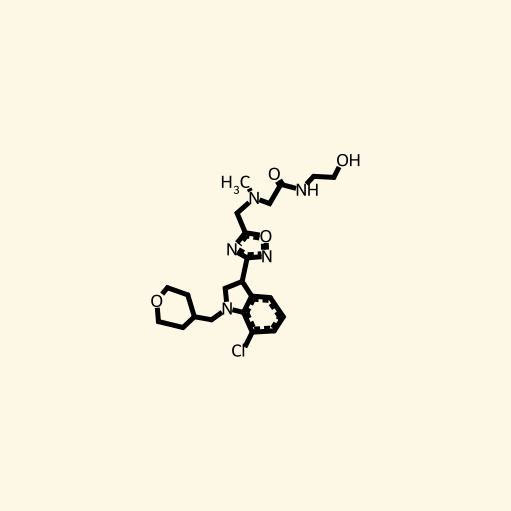 CN(CC(=O)NCCO)Cc1nc(C2CN(CC3CCOCC3)c3c(Cl)cccc32)no1